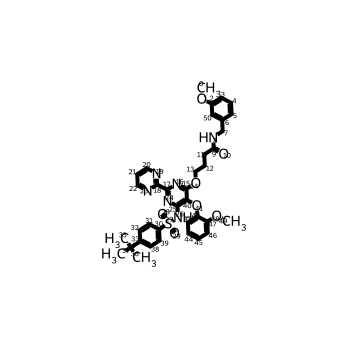 COc1cccc(CNC(=O)CCCOc2nc(-c3ncccn3)nc(NS(=O)(=O)c3ccc(C(C)(C)C)cc3)c2Oc2ccccc2OC)c1